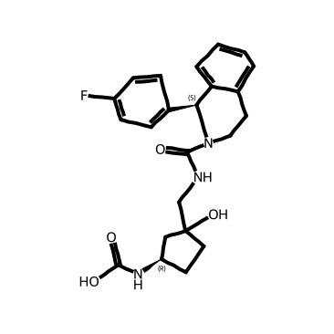 O=C(O)N[C@@H]1CCC(O)(CNC(=O)N2CCc3ccccc3[C@@H]2c2ccc(F)cc2)C1